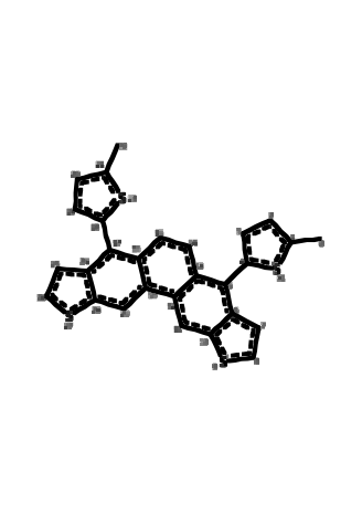 Cc1ccc(-c2c3ccsc3cc3c2ccc2c(-c4ccc(C)s4)c4ccsc4cc23)s1